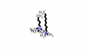 CCCCCCCCCC[N+](C)(C)C.CCCCCC[N+](CC)(CC)CC